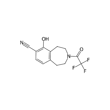 N#Cc1ccc2c(c1O)CCN(C(=O)C(F)(F)F)CC2